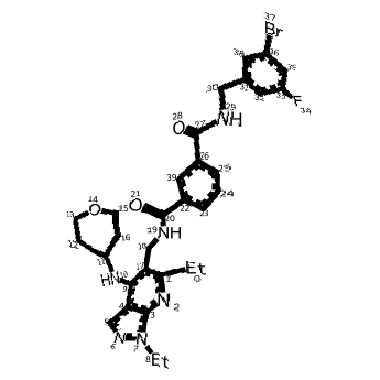 CCc1nc2c(cnn2CC)c(NC2CCOCC2)c1CNC(=O)c1cccc(C(=O)NCc2cc(F)cc(Br)c2)c1